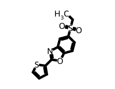 CCS(=O)(=O)c1ccc2oc(-c3cccs3)nc2c1